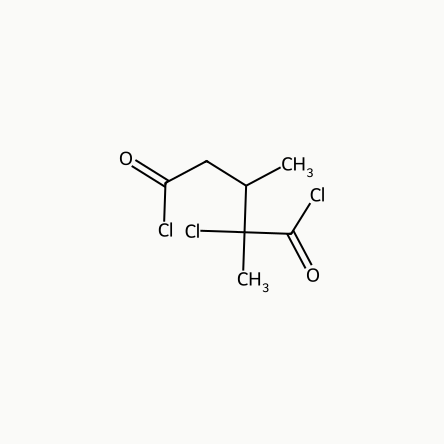 CC(CC(=O)Cl)C(C)(Cl)C(=O)Cl